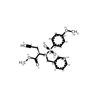 C#CC[C@H](C(=O)OC)N(Cc1cccnc1)S(=O)(=O)c1ccc(OC)cc1